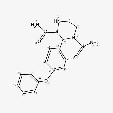 NC(=O)C1NCCN(C(N)=O)C1c1ccc(Oc2ccccc2)cc1